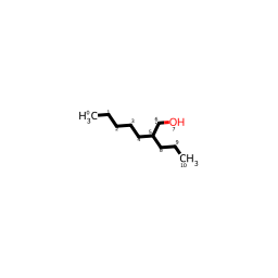 CCCCCC([CH]O)CCC